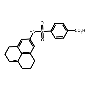 CC12CCCc3cc(NS(=O)(=O)c4ccc(C(=O)O)cc4)cc(c31)CCC2